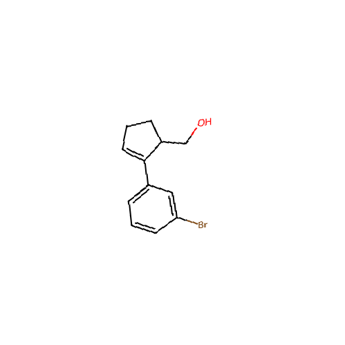 OCC1CCC=C1c1cccc(Br)c1